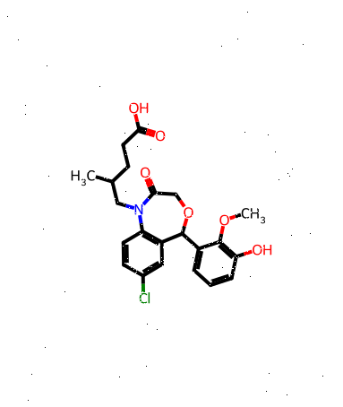 COc1c(O)cccc1C1OCC(=O)N(CC(C)CCC(=O)O)c2ccc(Cl)cc21